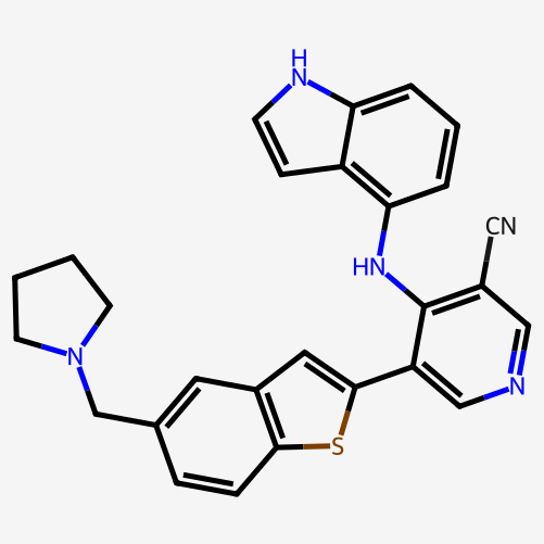 N#Cc1cncc(-c2cc3cc(CN4CCCC4)ccc3s2)c1Nc1cccc2[nH]ccc12